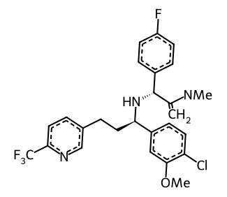 C=C(NC)[C@H](N[C@H](CCc1ccc(C(F)(F)F)nc1)c1ccc(Cl)c(OC)c1)c1ccc(F)cc1